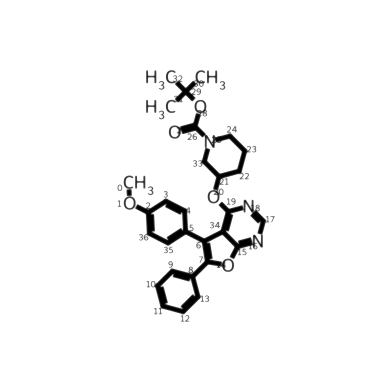 COc1ccc(-c2c(-c3ccccc3)oc3ncnc(OC4CCCN(C(=O)OC(C)(C)C)C4)c23)cc1